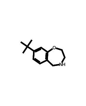 CC(C)(C)c1ccc2c(c1)OCCNC2